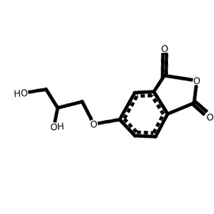 O=C1OC(=O)c2cc(OCC(O)CO)ccc21